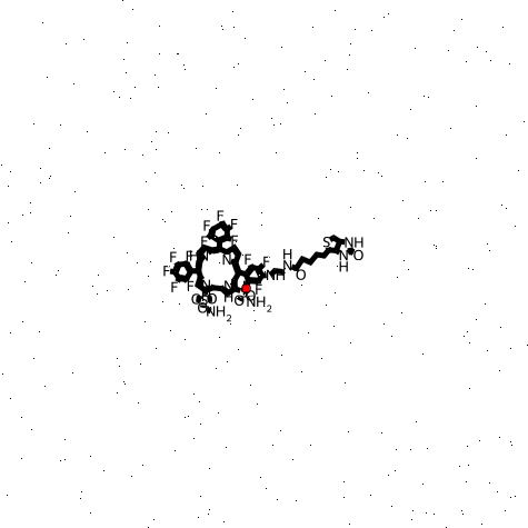 NOS(=O)(=O)c1cc2[nH]c1c(-c1c(F)c(F)c(NCCNC(=O)CCCCC3SCC4NC(=O)NC43)c(F)c1F)c1nc(c(-c3c(F)c(F)c(F)c(F)c3F)c3ccc([nH]3)c(-c3c(F)c(F)c(F)c(F)c3F)c3cc(S(=O)(=O)ON)c2[nH]3)C=C1